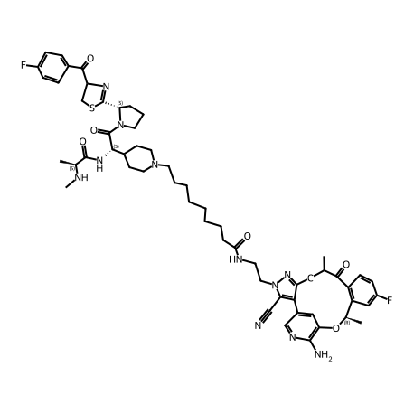 CN[C@@H](C)C(=O)N[C@H](C(=O)N1CCC[C@H]1C1=NC(C(=O)c2ccc(F)cc2)CS1)C1CCN(CCCCCCCCC(=O)NCCn2nc3c(c2C#N)-c2cnc(N)c(c2)O[C@H](C)c2cc(F)ccc2C(=O)C(C)C3)CC1